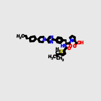 CCC[C@H]1CC[C@H](C2CCN(c3cnc(-c4ccc(C[C@H](NC(=O)c5ccc(C(C)(C)C)s5)C(=O)N5CCC[C@H]5C(=O)O)cc4)nc3)CC2)CC1